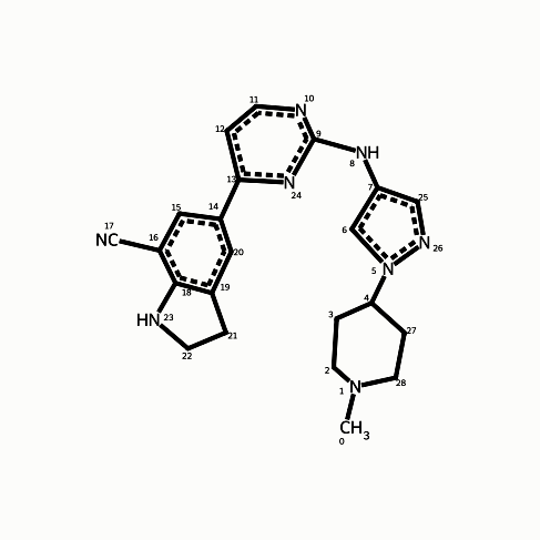 CN1CCC(n2cc(Nc3nccc(-c4cc(C#N)c5c(c4)CCN5)n3)cn2)CC1